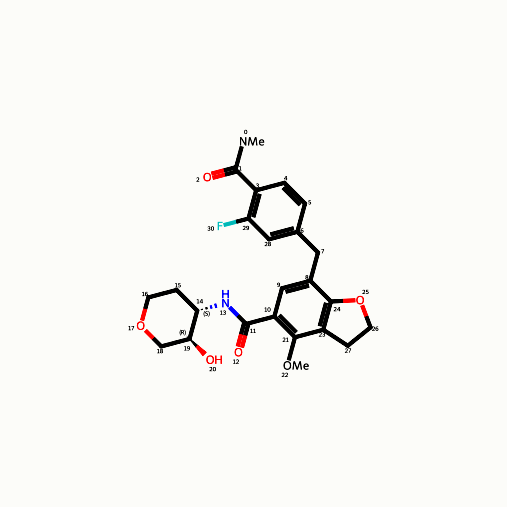 CNC(=O)c1ccc(Cc2cc(C(=O)N[C@H]3CCOC[C@@H]3O)c(OC)c3c2OCC3)cc1F